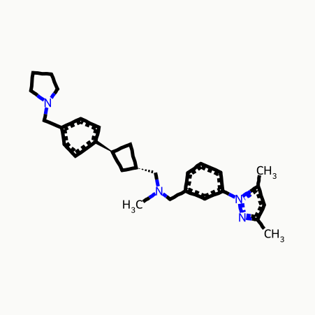 Cc1cc(C)n(-c2cccc(CN(C)C[C@H]3C[C@H](c4ccc(CN5CCCC5)cc4)C3)c2)n1